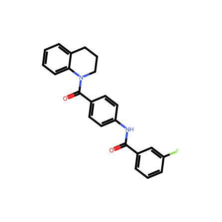 O=C(Nc1ccc(C(=O)N2CCCc3ccccc32)cc1)c1cccc(F)c1